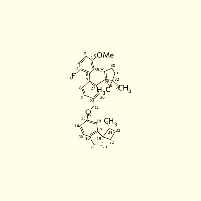 COc1ccc(F)c(-c2ccc(COc3ccc4c(c3)[C@]3(CC4)CC[C@H]3C)cc2C2=CCCC2(C)C)c1